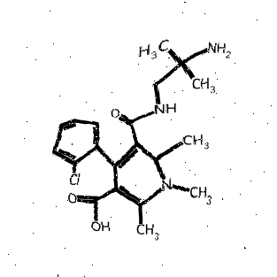 CC1=C(C(=O)O)C(c2ccccc2Cl)=C(C(=O)NCC(C)(C)N)C(C)N1C